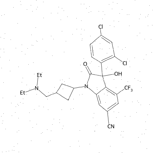 CCN(CC)CC1CC(N2C(=O)C(O)(c3ccc(Cl)cc3Cl)c3c2cc(C#N)cc3C(F)(F)F)C1